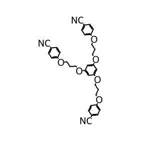 N#Cc1ccc(OCCCOc2cc(OCCCOc3ccc(C#N)cc3)cc(OCCCOc3ccc(C#N)cc3)c2)cc1